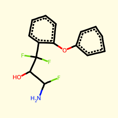 NC(F)C(O)C(F)(F)c1ccccc1Oc1ccccc1